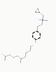 CC(C)CCCC(C)CCCCOc1ccc(CCC(N)(CO)CC2CC2)cc1